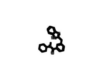 CN(C(=O)c1cccc(Cc2nc3ccccc3[nH]2)c1)C1CCCCC1